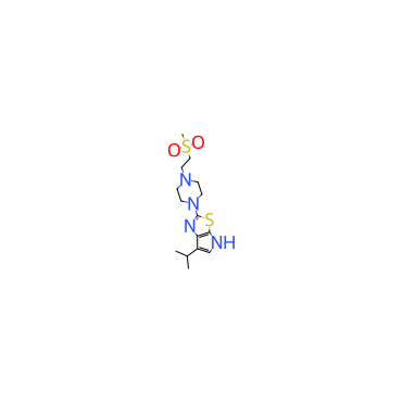 CC(C)c1c[nH]c2sc(N3CCN(CCS(C)(=O)=O)CC3)nc12